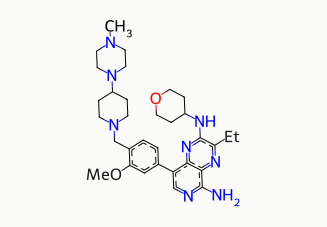 CCc1nc2c(N)ncc(-c3ccc(CN4CCC(N5CCN(C)CC5)CC4)c(OC)c3)c2nc1NC1CCOCC1